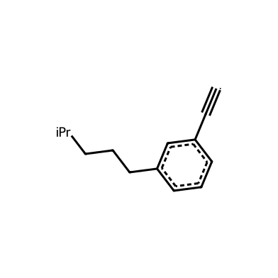 [C]#Cc1cccc(CCCC(C)C)c1